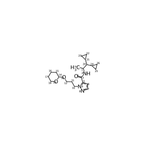 CC(NC(=O)c1ccnn1CCCOC1CCCCO1)C(C1CC1)C1CC1